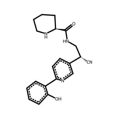 N#C[C@@H](CNC(=O)[C@@H]1CCCCN1)c1ccc(-c2ccccc2O)nc1